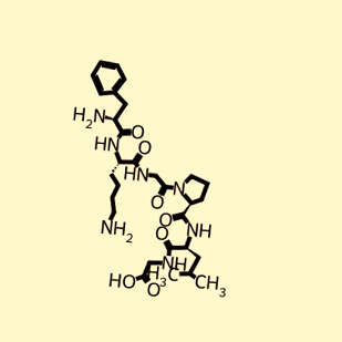 CC(C)C[C@H](NC(=O)[C@@H]1CCCN1C(=O)CNC(=O)[C@H](CCCCN)NC(=O)[C@@H](N)Cc1ccccc1)C(=O)NCC(=O)O